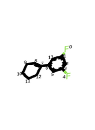 Fc1cc(F)cc(C2=CCCCC2)c1